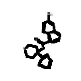 O=C(OC1(c2ccccc2)CCNCC1)c1cccc2cc(O)ccc12